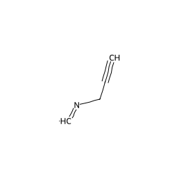 [CH]=NCC#C